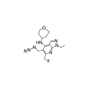 CCn1ncc2c(NC3CCOCC3)c(CN=[N+]=[N-])c(CF)nc21